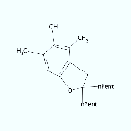 CCCCCC1(CCCCC)Cc2c(cc(C)c(O)c2C)O1